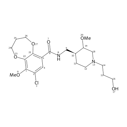 COc1c(Cl)cc(C(=O)NC[C@@H]2CCN(CCCO)CC2OC)c2c1OCCCO2